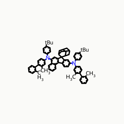 Cc1ccccc1-c1ccc(N(c2ccc(C(C)(C)C)cc2)c2ccc3c(c2)C2(c4cc(N(c5ccc(C(C)(C)C)cc5)c5ccc(-c6ccccc6C)c(C)c5)c5ccccc5c4-3)C3CC4CC(C3)CC2C4)cc1C